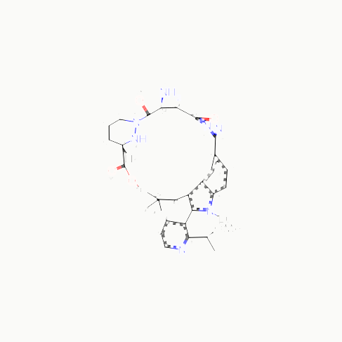 CCn1c(-c2cccnc2[C@H](C)OC)c2c3cc(ccc31)-c1noc(n1)C[C@H](N)C(=O)N1CCC[C@H](N1)C(=O)OCC(C)(C)C2